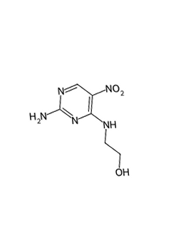 Nc1ncc([N+](=O)[O-])c(NCCO)n1